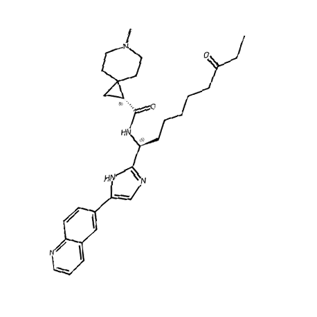 CCC(=O)CCCCC[C@H](NC(=O)[C@@H]1CC12CCN(C)CC2)c1ncc(-c2ccc3ncccc3c2)[nH]1